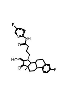 C[C@]12CCC3c4ccc(F)cc4CCC3C1[C@H](CCCC(=O)Nc1ccc(F)cn1)/C(=C/O)C2=O